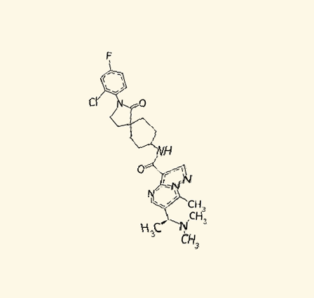 Cc1c([C@H](C)N(C)C)cnc2c(C(=O)NC3CCC4(CC3)CCN(c3ccc(F)cc3Cl)C4=O)cnn12